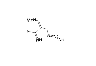 CN/C=C(/CN=[N+]=N)C(=N)I